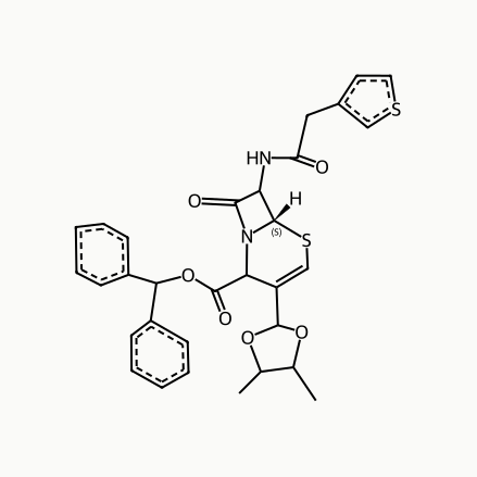 CC1OC(C2=CS[C@H]3C(NC(=O)Cc4ccsc4)C(=O)N3C2C(=O)OC(c2ccccc2)c2ccccc2)OC1C